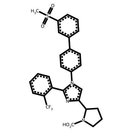 CS(=O)(=O)c1cccc(-c2ccc(-n3cc(C4CCCN4C(=O)O)nc3-c3ccccc3C(F)(F)F)cc2)c1